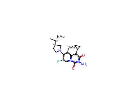 CN[C@@H](C)[C@@H]1CCN(c2c(F)cn3c(=O)n(N)c(=O)c(C4CC4)c3c2OC)C1